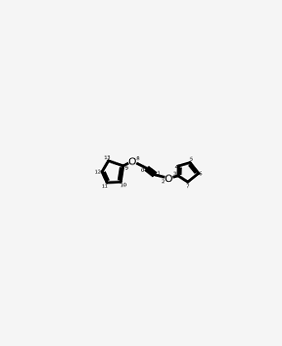 C(#COC1=CC=CC1)OC1=CC=CC1